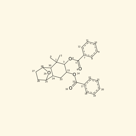 CC1(C)C(OC(=O)c2ccccc2)C(OC(=O)c2ccccc2)CC2C3CCC(O3)C21